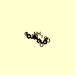 COc1ccc(Cc2cc(C3CCN(C(=O)c4ccc5c(c4)OCO5)CC3)nc(N)n2)cc1